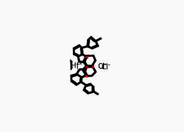 Cc1ccc(-c2cccc3c2C=C(C2CCCCC2)[CH]3[Hf+2]2([CH]3C(C4CCCCC4)=Cc4c(-c5ccc(C)cc5)cccc43)[CH2][CH2]2)cc1.[Cl-].[Cl-]